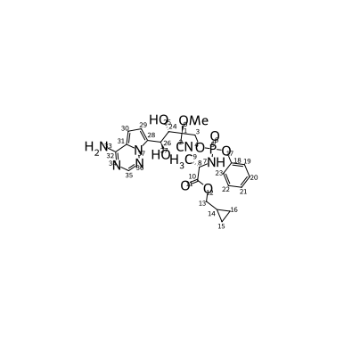 CO[C@](C#N)(COP(=O)(N[C@@H](C)C(=O)OCC1CC1)Oc1ccccc1)[C@@H](O)[C@@H](O)c1ccc2c(N)ncnn12